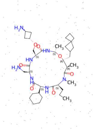 CCC[C@H]1C(=O)N[C@@H](C2CCCCC2)C(=O)N[C@@H](CN)C(=O)N[C@@H](CO[C@H]2C[C@H](N)C2)C(=O)N[C@H](C)O[C@H](CC2CC3(CCC3)C2)[C@@H](C)C(=O)N1C